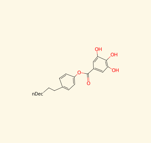 CCCCCCCCCCCCc1ccc(OC(=O)c2cc(O)c(O)c(O)c2)cc1